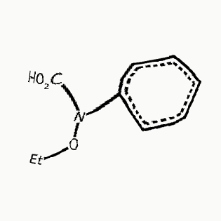 CCON(C(=O)O)c1ccccc1